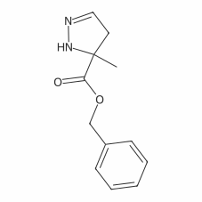 CC1(C(=O)OCc2ccccc2)CC=NN1